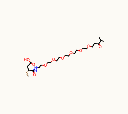 CSC(CC(=O)O)C(=O)NCCOCCOCCOCCOCCOCCOCCC(=O)C(C)C